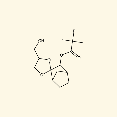 CC(C)(F)C(=O)OC1C2CCC(C2)C12OCC(CO)O2